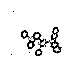 C1=CC2C(C(c3nc(-c4ccccc4)nc(-n4c5cc6ccccc6cc5c5cc6ccccc6cc54)n3)=C1)c1ccccc1N2c1ccccc1